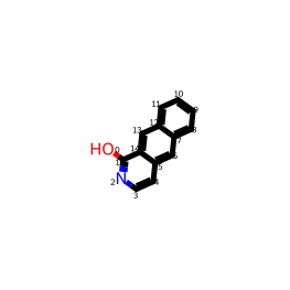 Oc1nccc2cc3ccccc3cc12